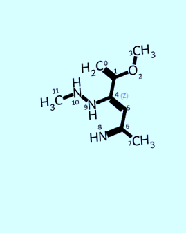 C=C(OC)/C(=C/C(C)=N)NNC